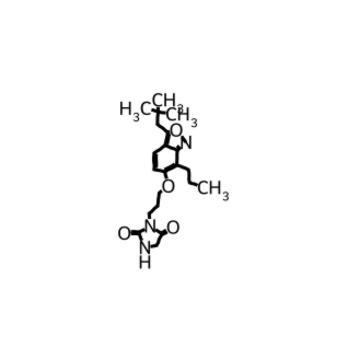 CCCc1c(OCCCN2C(=O)CNC2=O)ccc2c(CC(C)(C)C)onc12